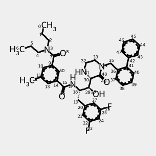 CCCN(CCC)C(=O)c1cc(C)cc(C(=O)N[C@@H](Cc2cc(F)cc(F)c2)[C@H](O)[C@@H]2NCCN(Cc3ccccc3-c3ccccc3)C2=O)c1